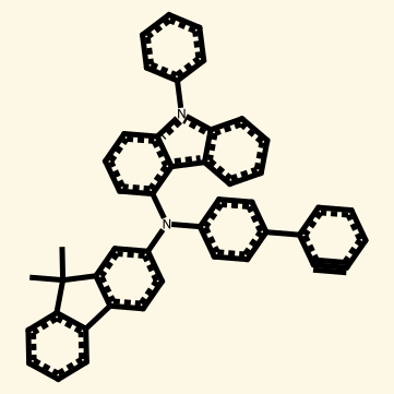 CC1(C)c2ccccc2-c2ccc(N(c3ccc(-c4c#cccc4)cc3)c3cccc4c3c3ccccc3n4-c3ccccc3)cc21